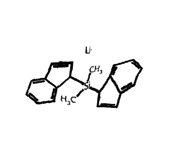 C[Si](C)(C1C=Cc2ccccc21)C1C=Cc2ccccc21.[Li]